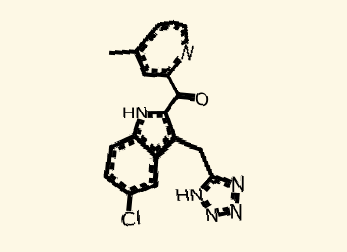 Cc1ccnc(C(=O)c2[nH]c3ccc(Cl)cc3c2Cc2nnn[nH]2)c1